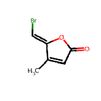 CC1=CC(=O)OC1=CBr